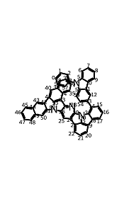 c1ccc(-n2c3ccccc3c3cc(-c4cccc5c6cccc7c8cc9c(nc8n(c45)c76)c4c5ccccc5cc5c6cc7ccccc7cc6n9c54)ccc32)cc1